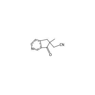 CC1(CC#N)Cc2ccncc2C1=O